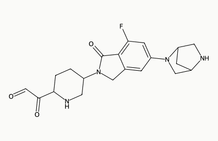 O=CC(=O)C1CCC(N2Cc3cc(N4CC5CC4CN5)cc(F)c3C2=O)CN1